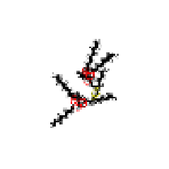 CCCCCCCCOC(CC)(OCCCCCCCC)OCCC(CCCCC)SSC(CCCCC)CCOC(CC)(OCCCCCCCC)OCCCCCCCC